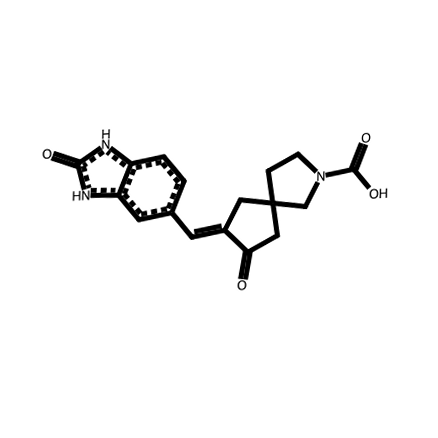 O=C1CC2(CCN(C(=O)O)C2)C/C1=C\c1ccc2[nH]c(=O)[nH]c2c1